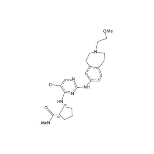 CNC(=O)[C@H]1CCC[C@H]1Nc1nc(Nc2ccc3c(c2)CCN(CCOC)CC3)ncc1Cl